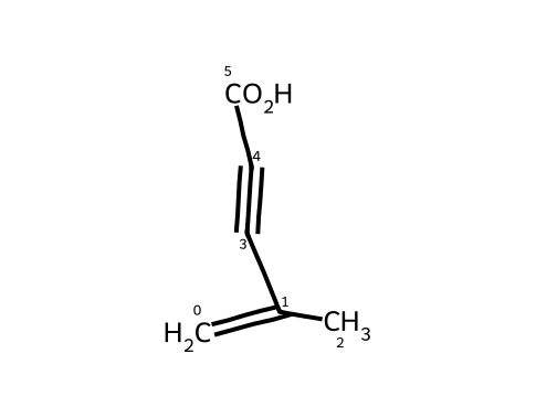 C=C(C)C#CC(=O)O